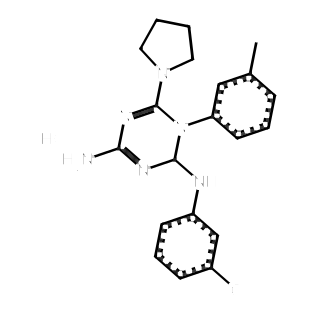 Cc1cccc(N2C(N3CCCC3)=NC(N)=NC2Nc2cccc(Cl)c2)c1.Cl